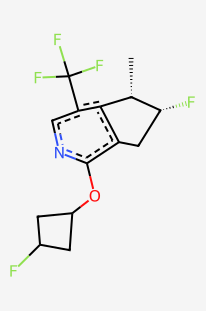 C[C@H]1c2c(C(F)(F)F)cnc(OC3CC(F)C3)c2C[C@H]1F